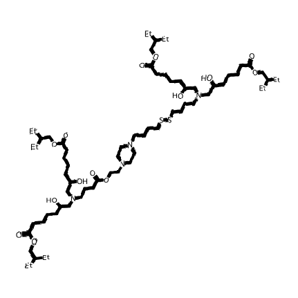 CCC(CC)COC(=O)CCCCC(O)CN(CCCCSSCCCCN1CCN(CCOC(=O)CCCN(CC(O)CCCCC(=O)OCC(CC)CC)CC(O)CCCCC(=O)OCC(CC)CC)CC1)CC(O)CCCCC(=O)OCC(CC)CC